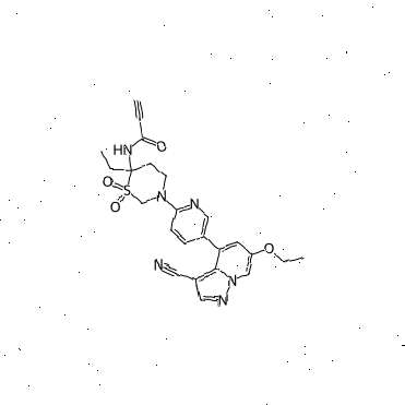 C#CC(=O)NC1(CC)CCN(c2ccc(-c3cc(OCC)cn4ncc(C#N)c34)cn2)CS1(=O)=O